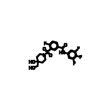 O=C(Nc1cc(F)c(F)c(F)c1)c1ccc(F)c(S(=O)(=O)N2CCC(O)(CO)CC2)c1